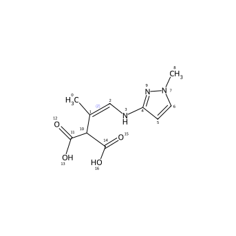 C/C(=C/Nc1ccn(C)n1)C(C(=O)O)C(=O)O